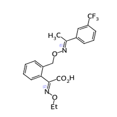 CCO/N=C(\C(=O)O)c1ccccc1CO/N=C(\C)c1cccc(C(F)(F)F)c1